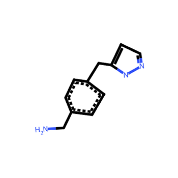 NCc1ccc(CC2=CC=N[N]2)cc1